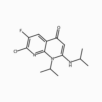 CC(C)Nc1cc(=O)c2cc(F)c(Cl)nc2n1C(C)C